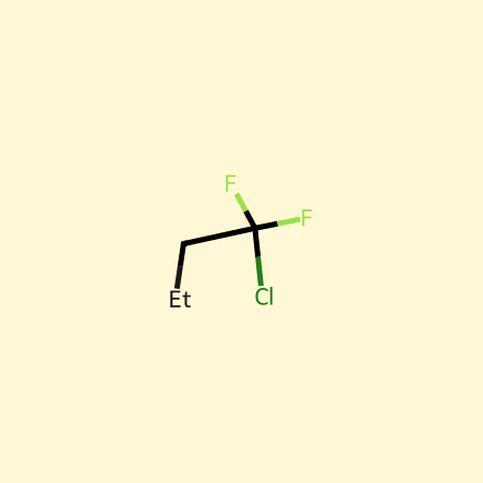 [CH2]CCC(F)(F)Cl